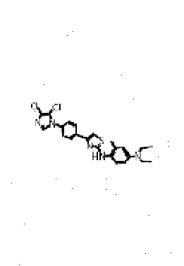 CCN(CC)c1ccc(Nc2nc(-c3ccc(-n4cnc(Cl)c4Cl)cc3)cs2)c(C)c1